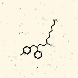 CN(CCCCCCN)CCN(Cc1ccc(F)cc1)c1ccccn1